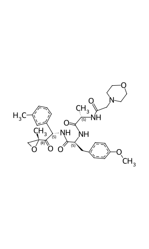 COc1ccc(C[C@H](NC(=O)[C@H](C)NC(=O)CN2CCOCC2)C(=O)N[C@H](C(=O)[C@@]2(C)CO2)c2cccc(C)c2)cc1